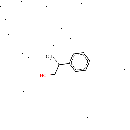 O=[N+]([O-])C(CO)c1ccccc1